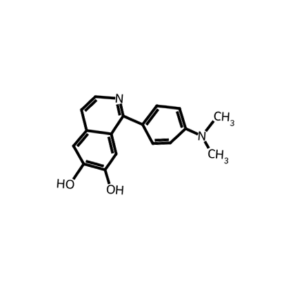 CN(C)c1ccc(-c2nccc3cc(O)c(O)cc23)cc1